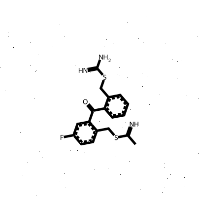 CC(=N)SCc1ccc(F)cc1C(=O)c1ccccc1CSC(=N)N